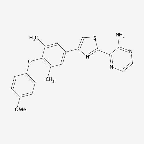 COc1ccc(Oc2c(C)cc(-c3csc(-c4nccnc4N)n3)cc2C)cc1